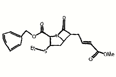 CCSC1CC2C(CC=CC(=O)OC)C(=O)N2C1C(=O)OCc1ccccc1